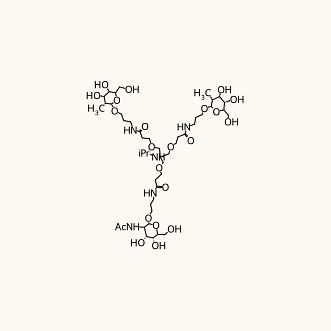 CC(=O)NC1[C@H](OCCCNC(=O)CCOCC(COCCC(=O)NCCCO[C@@H]2OC(CO)[C@H](O)[C@H](O)C2C)(COCCC(=O)NCCCO[C@@H]2OC(CO)[C@H](O)[C@H](O)C2C)NC(C)C)OC(CO)[C@H](O)[C@@H]1O